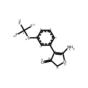 NC1=C(c2cccc(SC(F)(F)F)c2)C(=O)CO1